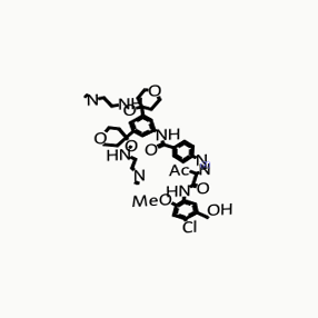 C=NCCNOC1(c2cc(NC(=O)c3ccc(/N=N\C(C(C)=O)C(=O)Nc4cc(CO)c(Cl)cc4OC)cc3)cc(C3(ONCCN=C)CCOCC3)c2)CCOCC1